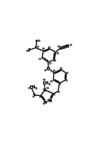 CSc1nnc(Cc2cccc(Oc3cc(C#N)cc(C(F)F)c3)c2)n1C